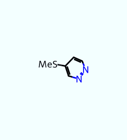 CSc1ccnnc1